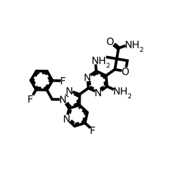 CC1(C(N)=O)COC1c1c(N)nc(-c2nn(Cc3c(F)cccc3F)c3ncc(F)cc23)nc1N